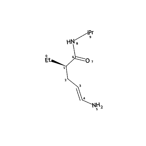 CC[C@H](C/C=C/N)C(=O)NC(C)C